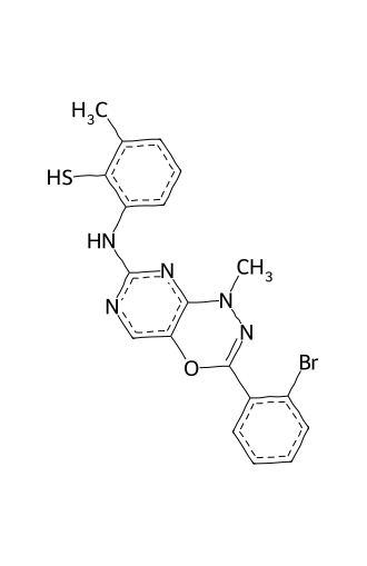 Cc1cccc(Nc2ncc3c(n2)N(C)N=C(c2ccccc2Br)O3)c1S